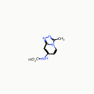 Cc1nnc2cc(NC(=O)O)ccn12